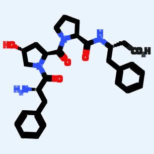 N[C@@H](Cc1ccccc1)C(=O)N1C[C@H](O)C[C@H]1C(=O)N1CCC[C@H]1C(=O)N[C@H](CC(=O)O)Cc1ccccc1